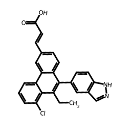 CCc1c(-c2ccc3[nH]ncc3c2)c2ccc(/C=C/C(=O)O)cc2c2cccc(Cl)c12